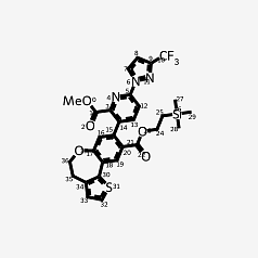 COC(=O)c1nc(-n2ccc(C(F)(F)F)n2)ccc1-c1cc2c(cc1C(=O)OCC[Si](C)(C)C)-c1sccc1CCO2